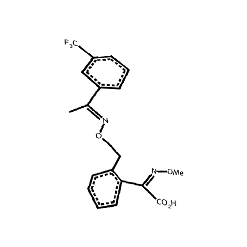 CON=C(C(=O)O)c1ccccc1CO/N=C(\C)c1cccc(C(F)(F)F)c1